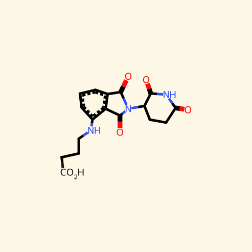 O=C(O)CCCNc1cccc2c1C(=O)N(C1CCC(=O)NC1=O)C2=O